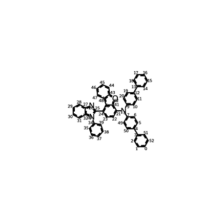 c1ccc(-c2ccc(N(c3ccc(-c4ccccc4)cc3)c3ccc(-c4nc5ccccc5n4-c4ccccc4)c4c3oc3ccccc34)cc2)cc1